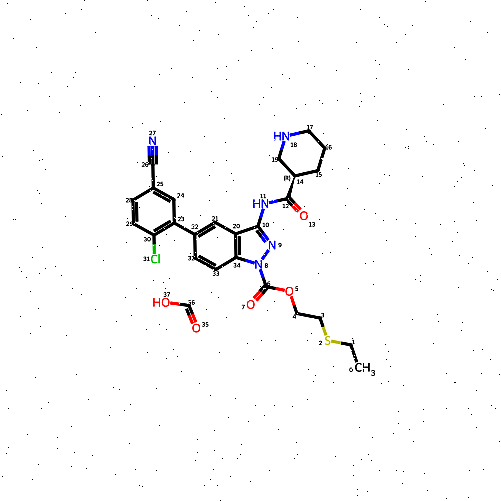 CCSCCOC(=O)n1nc(NC(=O)[C@@H]2CCCNC2)c2cc(-c3cc(C#N)ccc3Cl)ccc21.O=CO